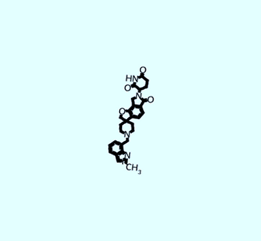 Cn1cc2cccc(CN3CCC4(CC3)COc3c4ccc4c3CN(C3CCC(=O)NC3=O)C4=O)c2n1